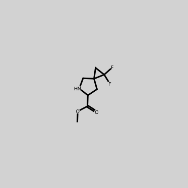 COC(=O)C1CC2(CN1)CC2(F)F